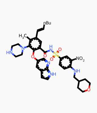 CCCCC=Cc1cc(C(=O)NS(=O)(=O)c2ccc(NCC3CCOCC3)c([N+](=O)[O-])c2)c(Oc2cnc3[nH]ccc3c2)c(N2CCNCC2)c1C